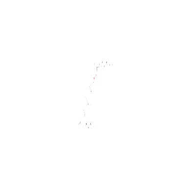 COCCCCCCC[CH]OCOC